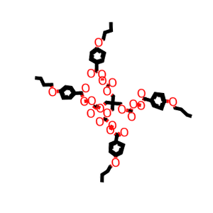 CCCCOc1ccc(C(=O)OOC(=O)OCC(COC(=O)OOC(=O)c2ccc(OCCCC)cc2)(COC(=O)OOC(=O)c2ccc(OCCCC)cc2)COC(=O)OOC(=O)c2ccc(OCCCC)cc2)cc1